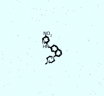 CN1CCN(c2cccc3ccc(Nc4ccc([N+](=O)[O-])cn4)cc23)CC1